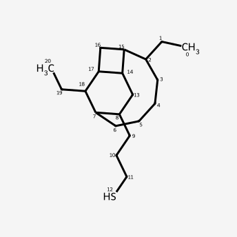 CCC1CCCCC2C(CCCS)CC3C1CC3C2CC